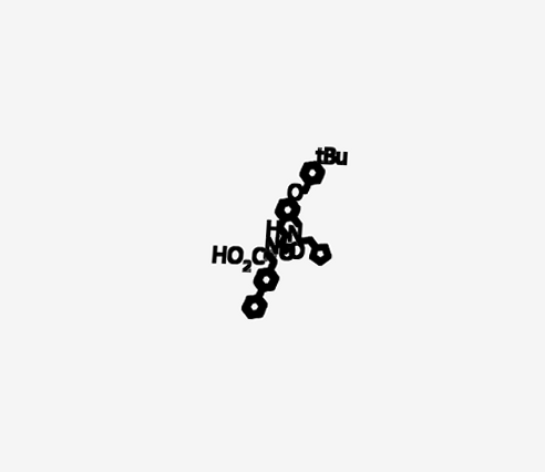 CC(C)(C)c1ccc(COc2ccc3c(c2)CN(C(=O)CC2CCCC2)C(C(=O)N[C@@H](Cc2ccc(-c4ccccc4)cc2)C(=O)O)C3)cc1